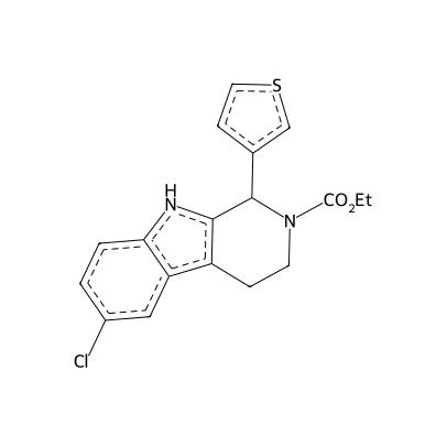 CCOC(=O)N1CCc2c([nH]c3ccc(Cl)cc23)C1c1ccsc1